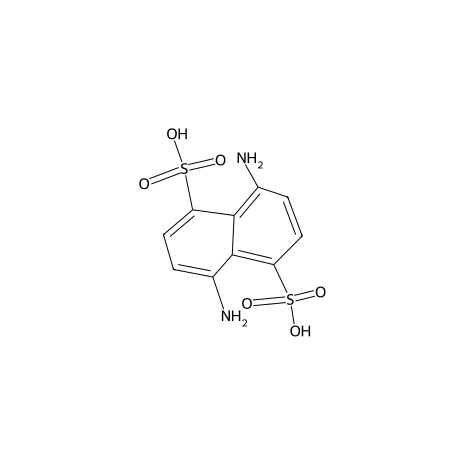 Nc1ccc(S(=O)(=O)O)c2c(N)ccc(S(=O)(=O)O)c12